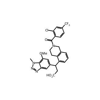 COc1cc(C(CC(=O)O)c2cccc3c2CCN(C(=O)c2ccc(C(F)(F)F)cc2Cl)C3)cc2nnn(C)c12